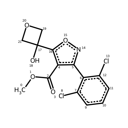 COC(=O)c1c(-c2c(Cl)cccc2Cl)noc1C1(O)COC1